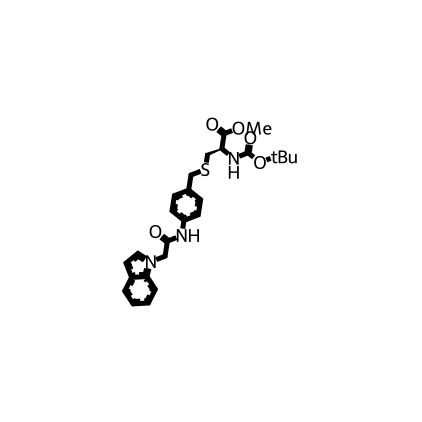 COC(=O)[C@H](CSCc1ccc(NC(=O)Cn2ccc3ccccc32)cc1)NC(=O)OC(C)(C)C